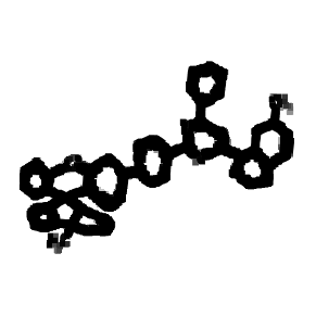 CC1C=Cc2cccc(-c3cc(-c4ccccc4)nc(-c4ccc(-c5ccc6c(c5)Oc5ccccc5C65c6ccccc6C6(C)C=CC=CC65)cc4)n3)c2C1